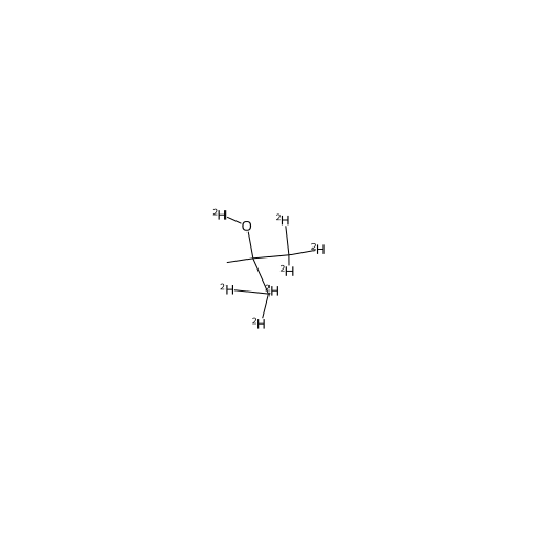 [2H]OC(C)(C([2H])([2H])[2H])C([2H])([2H])[2H]